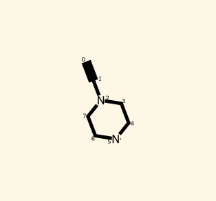 C#CN1CC[N]CC1